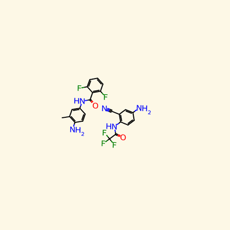 Cc1cc(NC(=O)c2c(F)cccc2F)ccc1N.N#Cc1cc(N)ccc1NC(=O)C(F)(F)F